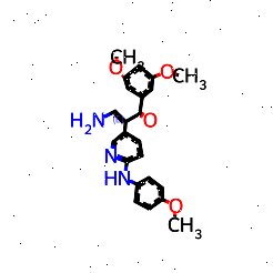 COc1ccc(Nc2ccc(/C(=C\N)C(=O)c3cc(OC)cc(OC)c3)cn2)cc1